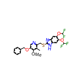 COc1c(OCc2ccccc2)cnc(CSc2nc3cc(OC(F)F)c(OC(F)F)cc3[nH]2)c1C